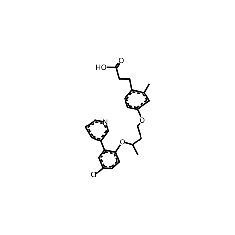 Cc1cc(OCCC(C)Oc2ccc(Cl)cc2-c2cccnc2)ccc1CCC(=O)O